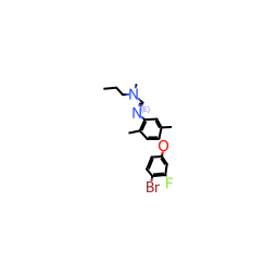 CCCN(C)/C=N/c1cc(C)c(Oc2ccc(Br)c(F)c2)cc1C